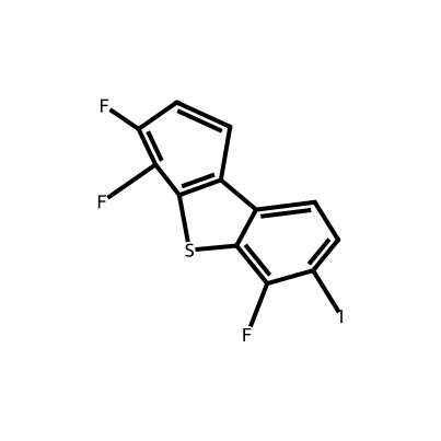 Fc1ccc2c(sc3c(F)c(I)ccc32)c1F